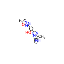 C=C(c1ncc(-c2ccc(-c3ncn(C)c(=O)n3)cc2O)nn1)[C@@H]1CC2CCC(N2)[C@@H]1F